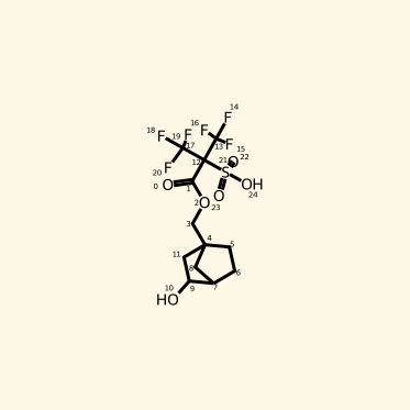 O=C(OCC12CCC(C1)C(O)C2)C(C(F)(F)F)(C(F)(F)F)S(=O)(=O)O